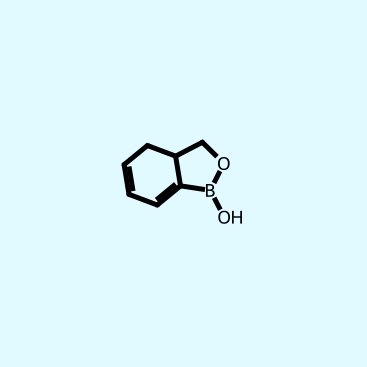 OB1OCC2CC=CC=C12